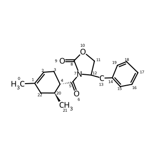 CC1=CC[C@H](C(=O)N2C(=O)OCC2Cc2ccccc2)[C@@H](C)C1